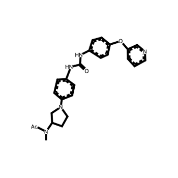 CC(=O)N(C)C1CCN(c2ccc(NC(=O)Nc3ccc(Oc4cccnc4)cc3)cc2)C1